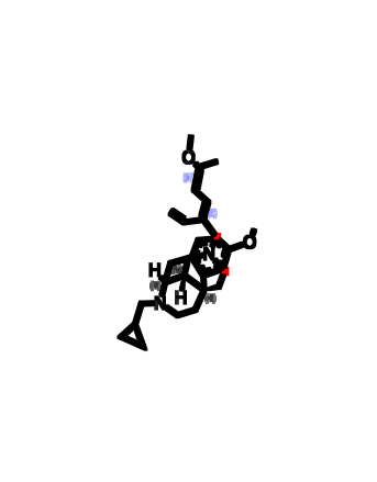 C=C/C(=C\C=C(/C)OC)CN1CC[C@]23CCN(CC4CC4)[C@H](Cc4ccc(OC)cc42)[C@@H]3C1